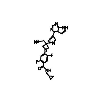 N#CCC1(n2cc(-c3ncnc4[nH]ccc34)cn2)CN(c2cc(F)c(C(=O)NCC3CC3)cc2F)C1